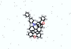 c1ccc(-c2ccc(N(c3ccc4oc5ccccc5c4c3)c3cccc4c3-c3c(ccc5ccccc35)C43c4ccccc4Oc4ccccc43)cc2)cc1